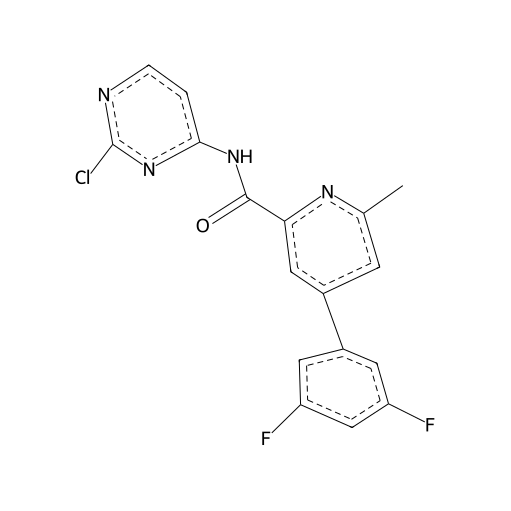 Cc1cc(-c2cc(F)cc(F)c2)cc(C(=O)Nc2ccnc(Cl)n2)n1